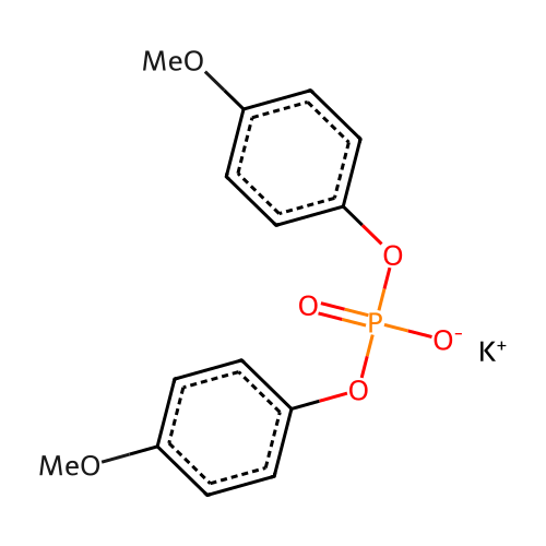 COc1ccc(OP(=O)([O-])Oc2ccc(OC)cc2)cc1.[K+]